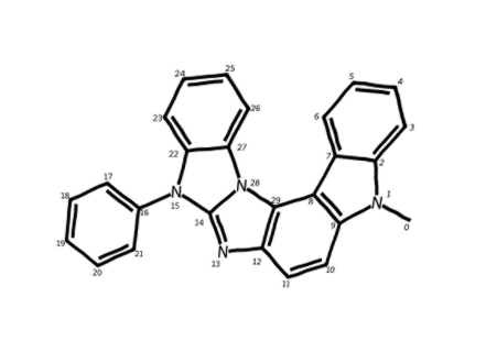 Cn1c2ccccc2c2c1ccc1nc3n(-c4ccccc4)c4ccccc4n3c12